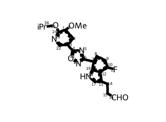 COc1cc(-c2nc(-c3ccc(F)c4c(CCC=O)c[nH]c34)no2)cnc1OC(C)C